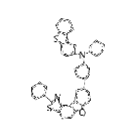 c1ccc(-c2nc3c(ccc4oc5ccc(-c6ccc(N(c7ccccc7)c7ccc8sc9ccccc9c8c7)cc6)cc5c43)s2)cc1